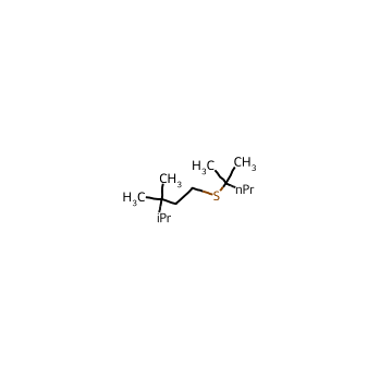 CCCC(C)(C)SCCC(C)(C)C(C)C